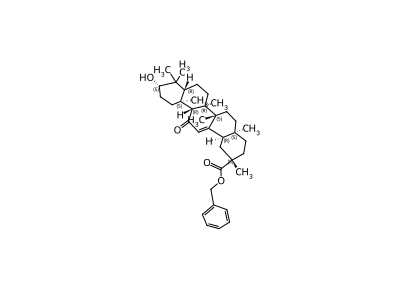 CC1(C)[C@@H](O)CC[C@]2(C)[C@H]3C(=O)C=C4[C@@H]5C[C@@](C)(C(=O)OCc6ccccc6)CC[C@]5(C)CC[C@@]4(C)[C@]3(C)CC[C@@H]12